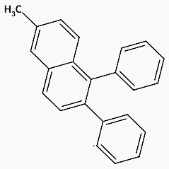 Cc1ccc2c(-c3ccccc3)c(-c3[c]cccc3)ccc2c1